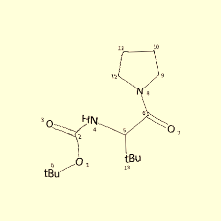 CC(C)(C)OC(=O)NC(C(=O)N1CCCC1)C(C)(C)C